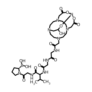 CC(C)C(NC(=O)CNC(=O)CNC(=O)CN1CCN2CCN3CCN(CC1)CC(O)ON(OC(=O)C2)OC(=O)C3)C(=O)NCC(=O)N1CCC[C@H]1B(O)O